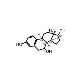 C[C@]12CC[C@@H]3c4ccc(O)cc4C[C@H](O)[C@H]3[C@@H]1CC[C@@H]2O